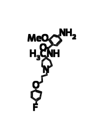 COc1cc(N)ccc1C(=O)NC1(C)CCN(CCCOc2ccc(F)cc2)CC1